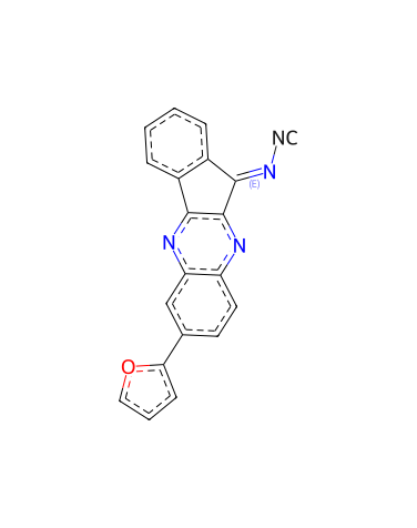 [C-]#[N+]/N=C1\c2ccccc2-c2nc3cc(-c4ccco4)ccc3nc21